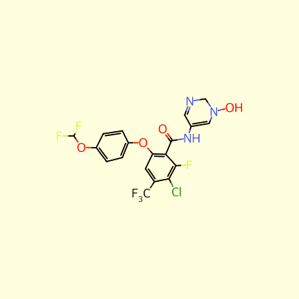 O=C(NC1=CN(O)CN=C1)c1c(Oc2ccc(OC(F)F)cc2)cc(C(F)(F)F)c(Cl)c1F